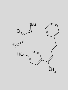 C=CC(=O)OC(C)(C)C.CC(=CC=Cc1ccccc1)c1ccc(O)cc1